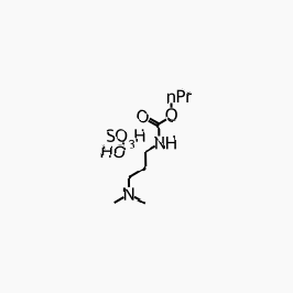 CCCOC(=O)NCCCN(C)C.O=S(=O)(O)O